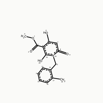 COC(=O)c1c(O)cc(=O)n(Cc2ccccc2C)c1O